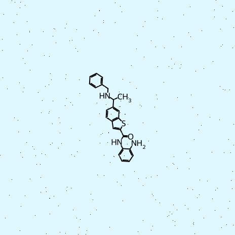 CC(NCc1ccccc1)c1ccc2cc(C(=O)Nc3ccccc3N)sc2c1